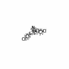 Clc1ccc(CC(Cl)(SCCSc2ccc(Cl)cc2)n2ccnc2)cc1